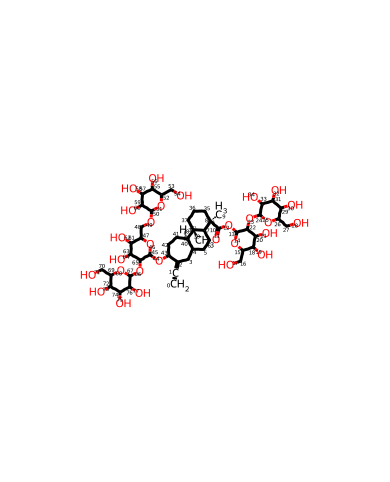 C=C=C1CC2CCC3[C@](C)(C(=O)OC4OC(CO)C(O)C(O)C4OC4OC(CO)C(O)C(O)C4O)CCC[C@@]3(C)[C@@H]2CCC1OC1OC(COC2OC(CO)C(O)C(O)C2O)C(O)C(O)C1OC1OC(CO)C(O)C(O)C1O